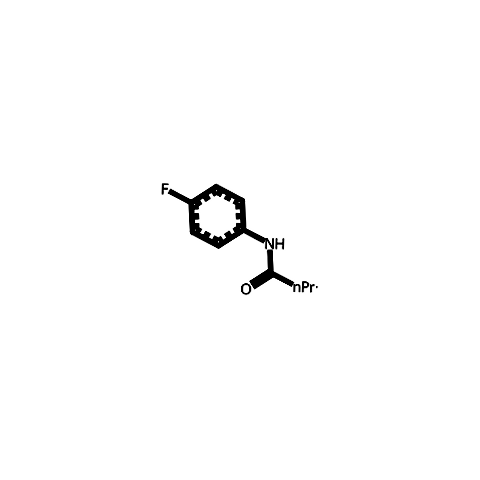 CC[CH]C(=O)Nc1ccc(F)cc1